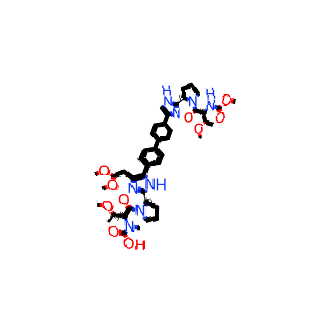 COC(=O)N[C@H](C(=O)N1CCC[C@H]1c1nc(-c2ccc(-c3ccc(-c4[nH]c([C@@H]5CCCN5C(=O)[C@H]([C@@H](C)OC)N(C)C(=O)O)nc4CC(OC)OC)cc3)cc2)c[nH]1)C(C)OC